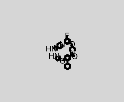 O=C(c1ccc(O[C@H]2CCNC2)c(C2CCCCC2)c1)N1CCC(Oc2cc(F)cc(N3CCC4(CC3)CNC4)c2)CC1